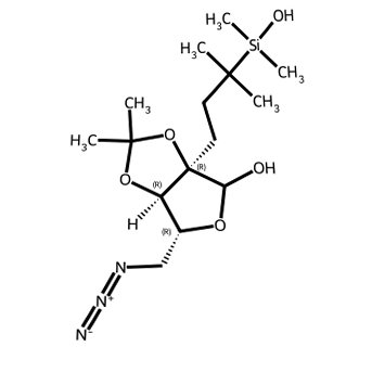 CC1(C)O[C@@H]2[C@@H](CN=[N+]=[N-])OC(O)[C@]2(CCC(C)(C)[Si](C)(C)O)O1